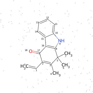 C=CC1=C(C)C(C)(C)c2[nH]c3ccccc3c2C1=O